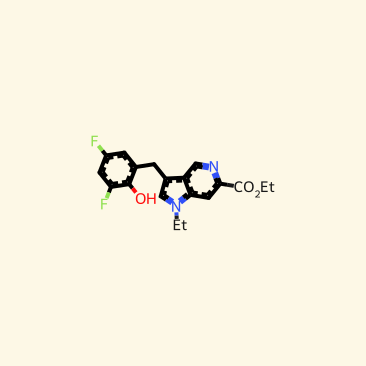 CCOC(=O)c1cc2c(cn1)c(Cc1cc(F)cc(F)c1O)cn2CC